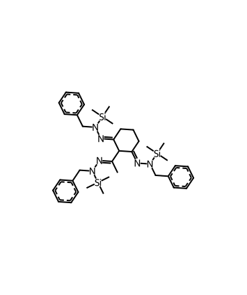 CC(=NN(Cc1ccccc1)[Si](C)(C)C)C1C(=NN(Cc2ccccc2)[Si](C)(C)C)CCCC1=NN(Cc1ccccc1)[Si](C)(C)C